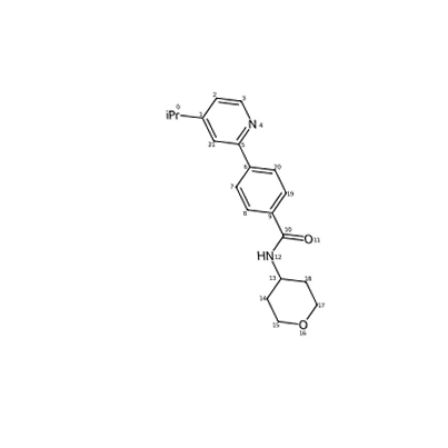 CC(C)c1ccnc(-c2ccc(C(=O)NC3CCOCC3)cc2)c1